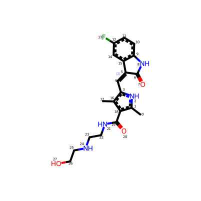 Cc1[nH]c(/C=C2\C(=O)Nc3ccc(F)cc32)c(C)c1C(=O)NCCNCCO